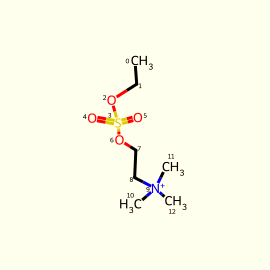 CCOS(=O)(=O)OCC[N+](C)(C)C